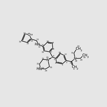 C=C(c1ccc([C@H](c2cccc(NCc3ccco3)c2)N2CCNCC2)cc1)N(CC)CC